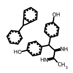 CC(=N)C(=N)C(c1ccc(O)cc1)c1ccc(O)cc1.c1ccc(C2c3ccccc32)cc1